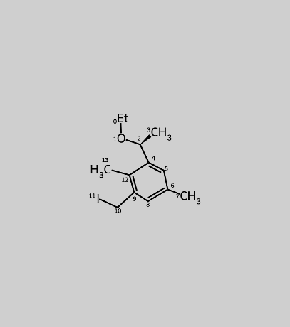 CCO[C@@H](C)c1cc(C)cc(CI)c1C